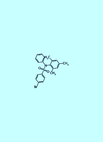 Cc1cc(C)c(N(c2ccccc2)S(=O)(=O)c2ccc(Br)cc2)c(C)c1